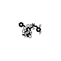 CCN1C(=O)c2c(OCc3ccccc3)c(=O)c(-c3nnc(Cc4ccc(F)cc4F)s3)cn2[C@@H]2COC[C@@H]21